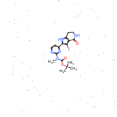 CN(C(=O)OC(C)(C)C)c1nccc(-c2[nH]c3c(c2I)C(=O)NCC3)n1